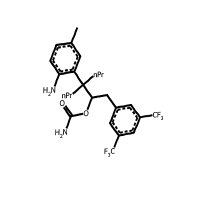 CCCC(CCC)(c1cc(C)ccc1N)C(Cc1cc(C(F)(F)F)cc(C(F)(F)F)c1)OC(N)=O